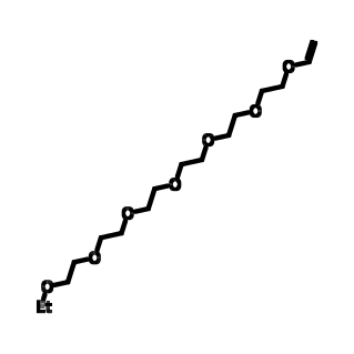 [CH2]COCCOCCOCCOCCOCCOCCOC=C